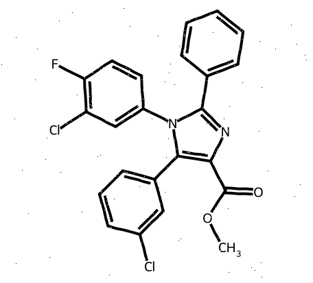 COC(=O)c1nc(-c2ccccc2)n(-c2ccc(F)c(Cl)c2)c1-c1cccc(Cl)c1